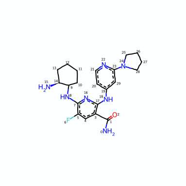 NC(=O)c1cc(F)c(NC2CCCC[C@@H]2N)nc1Nc1ccnc(N2CCCC2)c1